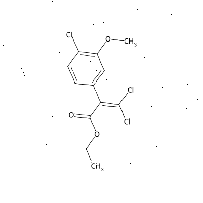 CCOC(=O)C(=C(Cl)Cl)c1ccc(Cl)c(OC)c1